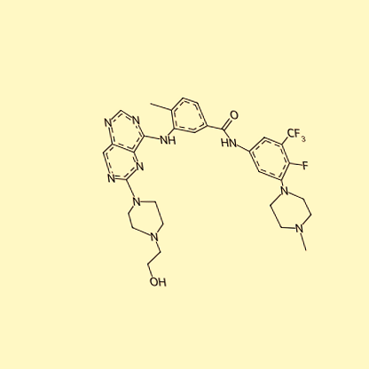 Cc1ccc(C(=O)Nc2cc(N3CCN(C)CC3)c(F)c(C(F)(F)F)c2)cc1Nc1ncnc2cnc(N3CCN(CCO)CC3)nc12